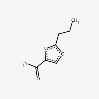 CC[CH]c1nc(C(N)=O)co1